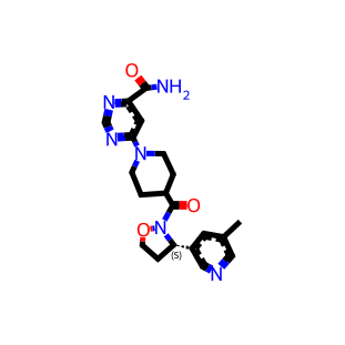 Cc1cncc([C@@H]2CCON2C(=O)C2CCN(c3cc(C(N)=O)ncn3)CC2)c1